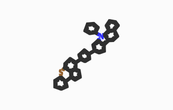 c1ccc(-n2c3cc(-c4ccc(-c5ccc6c7c(cccc57)-c5ccccc5S6)cc4)ccc3c3ccc4ccccc4c32)cc1